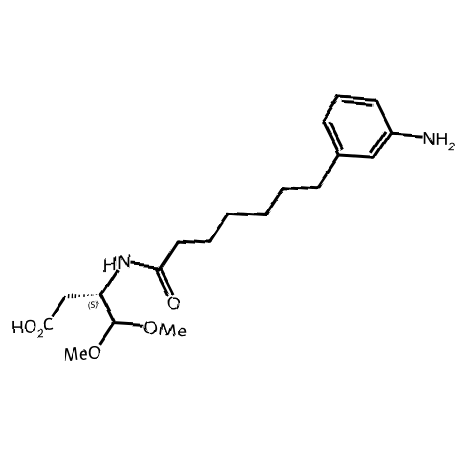 COC(OC)[C@H](CC(=O)O)NC(=O)CCCCCCc1cccc(N)c1